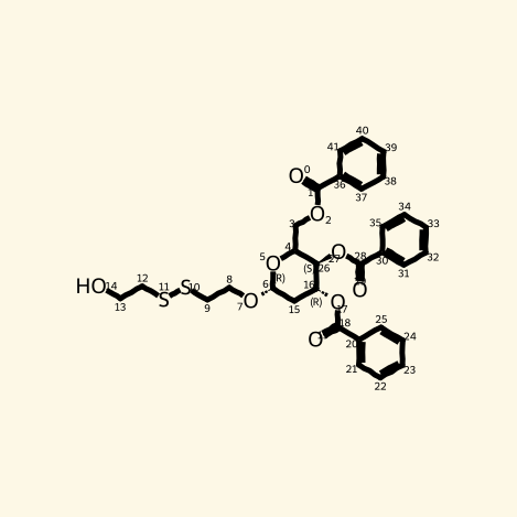 O=C(OCC1O[C@@H](OCCSSCCO)C[C@@H](OC(=O)c2ccccc2)[C@@H]1OC(=O)c1ccccc1)c1ccccc1